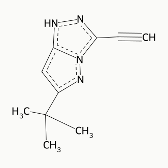 C#Cc1n[nH]c2cc(C(C)(C)C)nn12